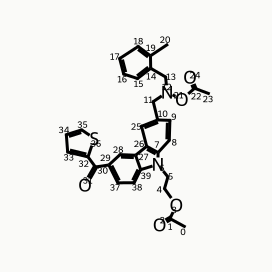 CC(=O)OCCn1c2ccc(CN(Cc3ccccc3C)OC(C)=O)cc2c2cc(C(=O)c3cccs3)ccc21